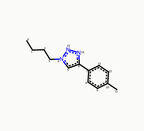 CCCCn1cc(-c2ccc(C)cc2)nn1